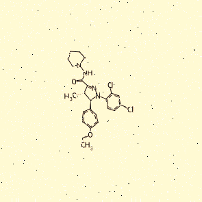 CCOc1ccc([C@H]2[C@H](C)C(C(=O)NN3CCCCC3)=NN2c2ccc(Cl)cc2Cl)cc1